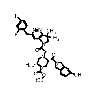 C[C@@H]1CN(CC(=O)N2CC(C)(C)c3nnc(Cc4ccc(F)cc4F)cc32)[C@H](C(=O)N2Cc3ccc(O)cc3C2)CN1C(=O)OC(C)(C)C